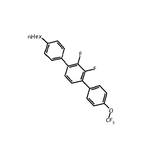 CCCCCCc1ccc(-c2ccc(-c3ccc(OC(F)(F)F)cc3)c(F)c2F)cc1